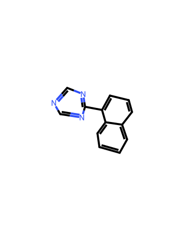 c1ccc2c(-c3ncncn3)cccc2c1